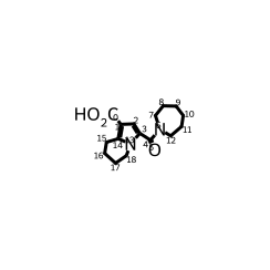 O=C(O)c1cc(C(=O)N2CCCCCC2)n2c1CCCC2